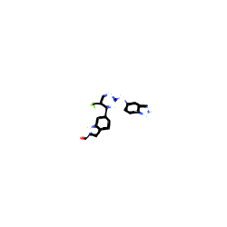 O=Cc1cc2ccc(-c3nc(Nc4ccc5[nH]ncc5c4)ncc3C(F)(F)F)cc2[nH]1